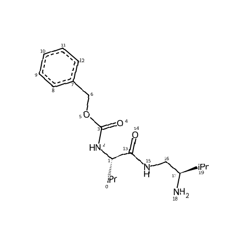 CC(C)[C@H](NC(=O)OCc1ccccc1)C(=O)NC[C@H](N)C(C)C